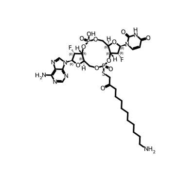 NCCCCCCCCCCC(=O)CSP1(=O)OC[C@H]2O[C@@H](n3cnc4c(N)ncnc43)[C@H](F)[C@@H]2OP(=O)(O)OC[C@H]2O[C@@H](n3ccc(=O)[nH]c3=O)[C@H](F)[C@@H]2O1